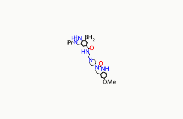 Bc1cc(C(=O)NCCN2CCC(N3CCc4cc(OC)ccc4NC3=O)CC2)cc(CNC(C)C)c1N